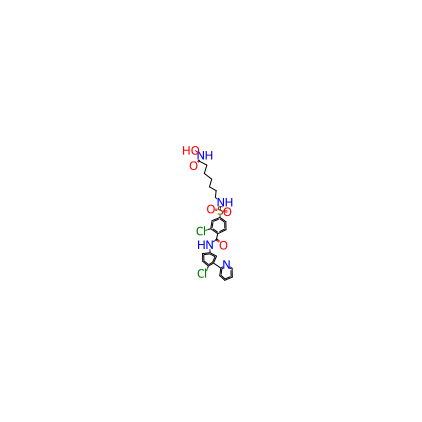 O=C(CCCCCCNS(=O)(=O)c1ccc(C(=O)Nc2ccc(Cl)c(-c3ccccn3)c2)c(Cl)c1)NO